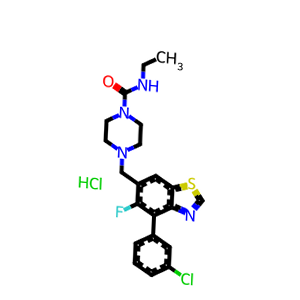 CCNC(=O)N1CCN(Cc2cc3scnc3c(-c3cccc(Cl)c3)c2F)CC1.Cl